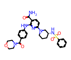 NC(=O)c1ccc(N2CCC[C@@H](NS(=O)(=O)c3ccccc3)C2)nc1Nc1ccc(C(=O)N2CCOCC2)cc1